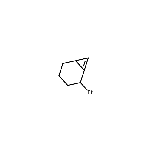 CCC1CCCC2[C]=C21